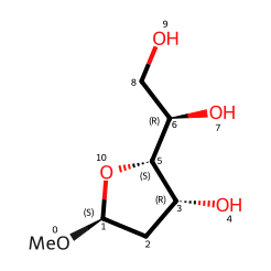 CO[C@@H]1C[C@@H](O)[C@@H]([C@H](O)CO)O1